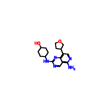 Nc1ncc(C2CCOC2)c2nc(NC3CCC(O)CC3)ncc12